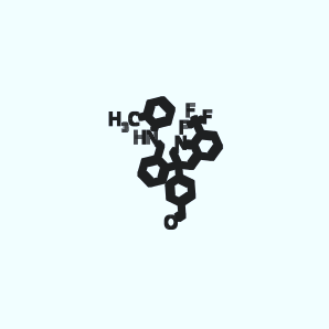 Cc1ccccc1NCc1ccccc1C1(c2ccc(C=O)cc2)C=c2cccc(C(F)(F)F)c2=NC1